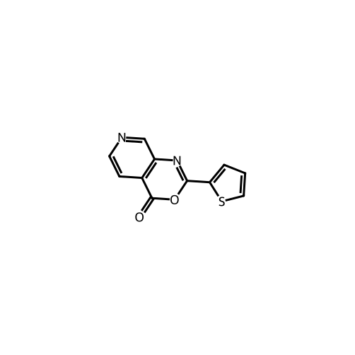 O=c1oc(-c2cccs2)nc2cnccc12